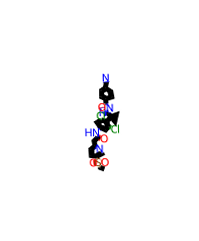 CCS(=O)(=O)c1ccc(CC(=O)Nc2cc(Cl)c(C3(c4noc(-c5ccc(C#N)cc5)n4)CC3)c(Cl)c2)nc1